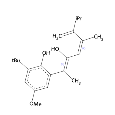 C=C(/C(C)=C\C(O)=C(/C)c1cc(OC)cc(C(C)(C)C)c1O)C(C)C